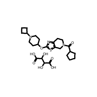 O=C(C1CCCC1)N1CCc2nc(OC3CCN(C4CCC4)CC3)sc2C1.O=C(O)C(O)C(O)C(=O)O